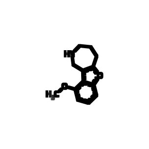 COc1cccc2oc3c(c12)CNCCC3